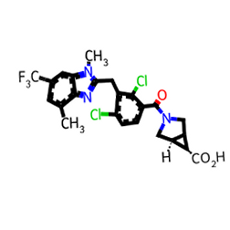 Cc1cc(C(F)(F)F)cc2c1nc(Cc1c(Cl)ccc(C(=O)N3CC4[C@H](C3)[C@H]4C(=O)O)c1Cl)n2C